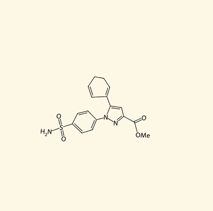 COC(=O)c1cc(C2=CCCC=C2)n(-c2ccc(S(N)(=O)=O)cc2)n1